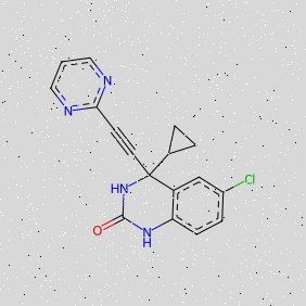 O=C1Nc2ccc(Cl)cc2C(C#Cc2ncccn2)(C2CC2)N1